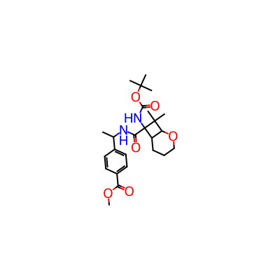 COC(=O)c1ccc(C(C)NC(=O)C2(NC(=O)OC(C)(C)C)C3CCCOC3C2(C)C)cc1